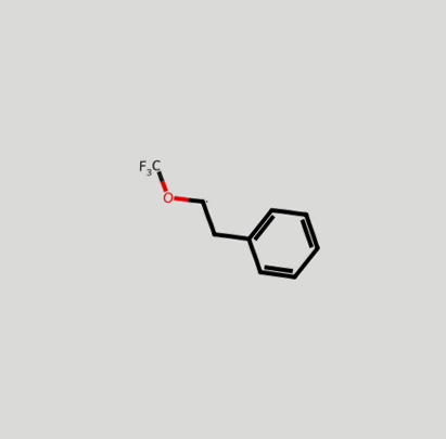 FC(F)(F)O[CH]Cc1ccccc1